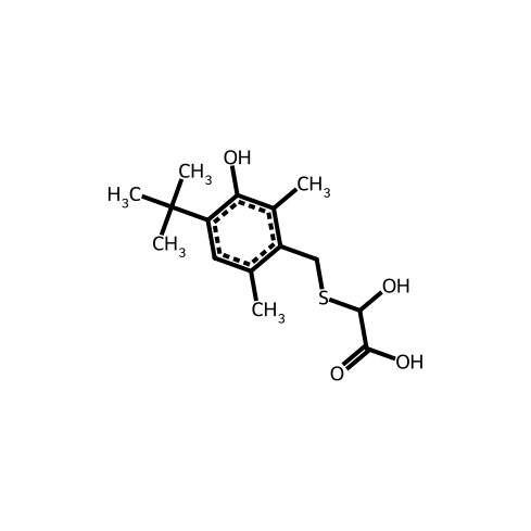 Cc1cc(C(C)(C)C)c(O)c(C)c1CSC(O)C(=O)O